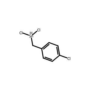 Clc1ccc([CH2][SnH]([Cl])[Cl])cc1